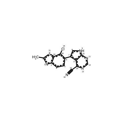 Cc1nc2ccc(-c3c[nH]c4ncnc(C#N)c34)c(Cl)c2s1